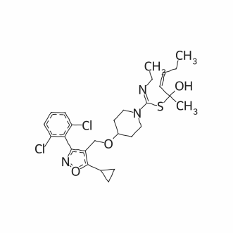 CC/C=C\C(C)(O)S/C(=N\CC)N1CCC(OCc2c(-c3c(Cl)cccc3Cl)noc2C2CC2)CC1